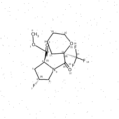 COC(=O)[C@@H]1C[C@@H](F)CN1C(=O)[C@@]1(C(F)(F)F)CCCCO1